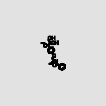 CCOC(c1ccc(OCc2nc(-c3ccccc3)oc2C)cc1)[C@@H](O)CO